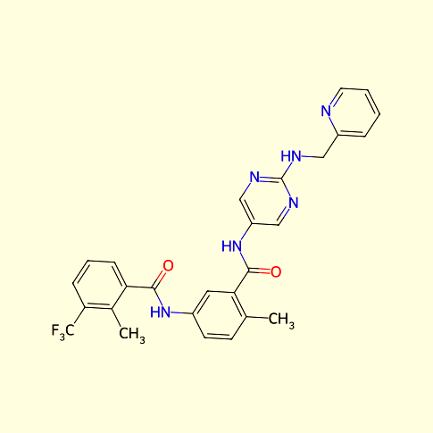 Cc1ccc(NC(=O)c2cccc(C(F)(F)F)c2C)cc1C(=O)Nc1cnc(NCc2ccccn2)nc1